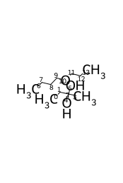 CCC(C)(O)O.CCCCOCCC